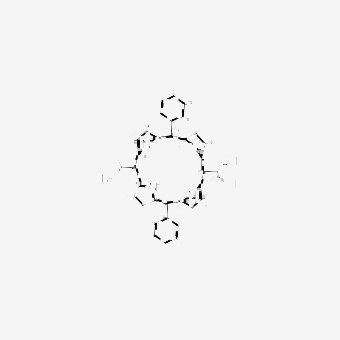 CC(C)c1c2nc(c(-c3ccccc3)c3ccc([nH]3)c(C(C)C)c3nc(c(-c4ccccc4)c4ccc1[nH]4)C=C3)C=C2